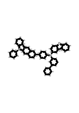 c1ccc(-c2cccc(N(c3ccc(-c4ccc5cc6c(cc5c4)c4ccccc4n6-c4ccccc4)cc3)c3ccc4oc5ccccc5c4c3)c2)cc1